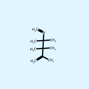 C=NC(C)(C)C(C)(C)C(=C)C